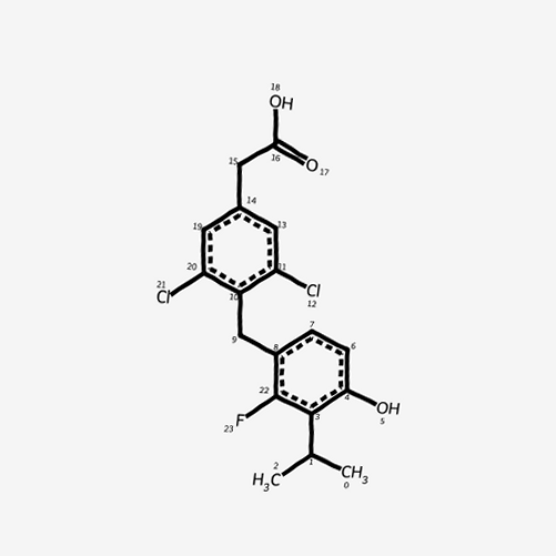 CC(C)c1c(O)ccc(Cc2c(Cl)cc(CC(=O)O)cc2Cl)c1F